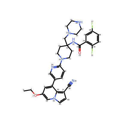 CCOc1cc(-c2ccc(N3CCC(CN4CCNCC4)(NC(=O)c4cc(F)ccc4F)CC3)nc2)c2c(C#N)ccn2c1